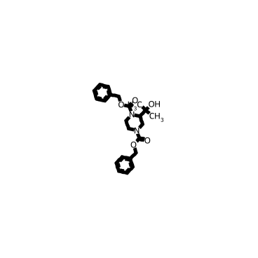 CC(C)(O)C1CN(C(=O)OCc2ccccc2)CCN1C(=O)OCc1ccccc1